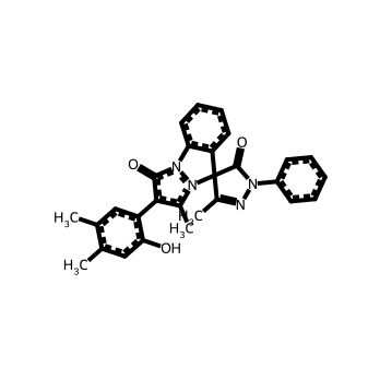 CC1=NN(c2ccccc2)C(=O)C12c1ccccc1-n1c(=O)c(-c3cc(C)c(C)cc3O)c(C)n12